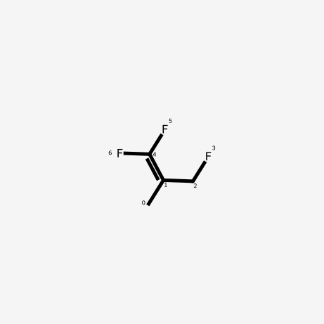 CC(CF)=C(F)F